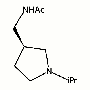 CC(=O)NC[C@@H]1CCN(C(C)C)C1